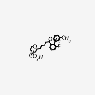 COC(CCC=CC1CN(C(=O)O)CCO1)c1cccc(F)c1-c1cccc(C)c1